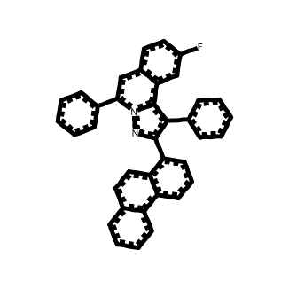 Fc1ccc2cc(-c3ccccc3)n3nc(-c4cccc5c4ccc4ccccc45)c(-c4ccccc4)c3c2c1